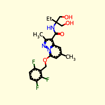 CCC(CO)(CO)NC(=O)c1c(C)nn2c(OCc3c(F)ccc(F)c3F)cc(C)cc12